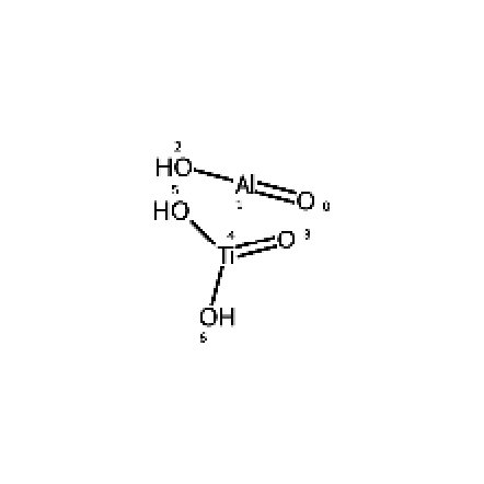 [O]=[Al][OH].[O]=[Ti]([OH])[OH]